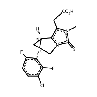 Cn1c(CC(=O)O)c2n(c1=S)C[C@@]1(c3c(F)ccc(Cl)c3F)C[C@@H]21